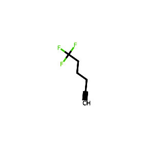 C#CCCCC(F)(F)F